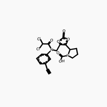 C#Cc1cccc(N(Cc2oc(=O)oc2C2CCCN2C(=O)O)C(=O)C(Cl)Cl)c1